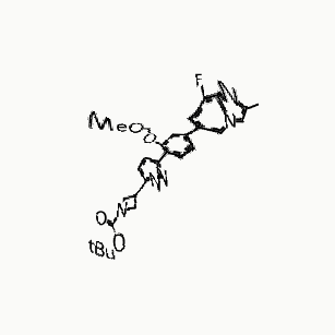 COCOc1cc(-c2cc(F)c3nc(C)cn3c2)ccc1-c1ccc(C2CN(C(=O)OC(C)(C)C)C2)nn1